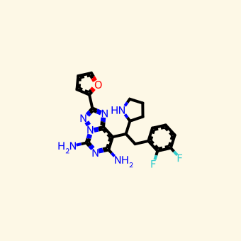 Nc1nc(N)n2nc(-c3ccco3)nc2c1C(Cc1cccc(F)c1F)C1CCCN1